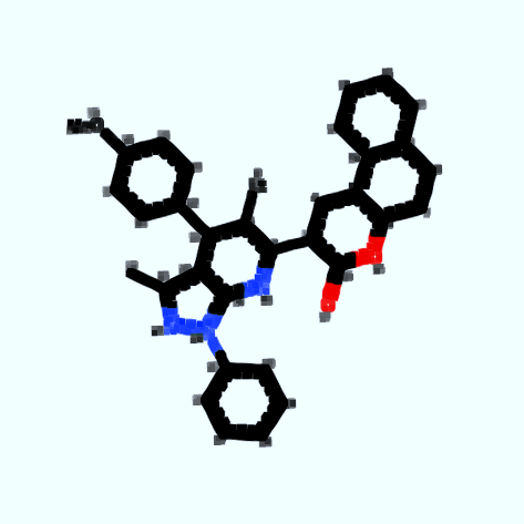 CCc1c(-c2cc3c(ccc4ccccc43)oc2=O)nc2c(c(C)nn2-c2ccccc2)c1-c1ccc(OC)cc1